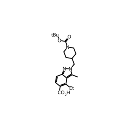 CCc1c(C(=O)O)ccc2nn(CC3CCN(C(=O)OC(C)(C)C)CC3)c(C)c12